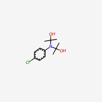 CC(C)(O)N(c1ccc(Cl)cc1)C(C)(C)O